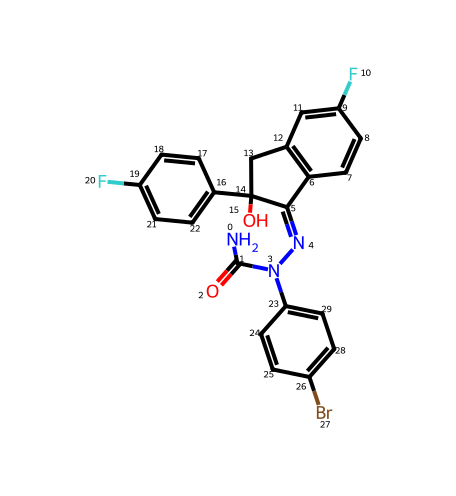 NC(=O)N(/N=C1/c2ccc(F)cc2CC1(O)c1ccc(F)cc1)c1ccc(Br)cc1